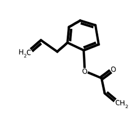 C=CCc1ccccc1OC(=O)C=C